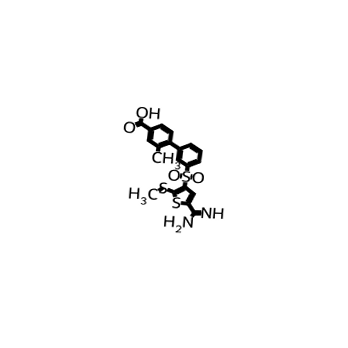 CSc1sc(C(=N)N)cc1S(=O)(=O)c1cccc(-c2ccc(C(=O)O)cc2C)c1